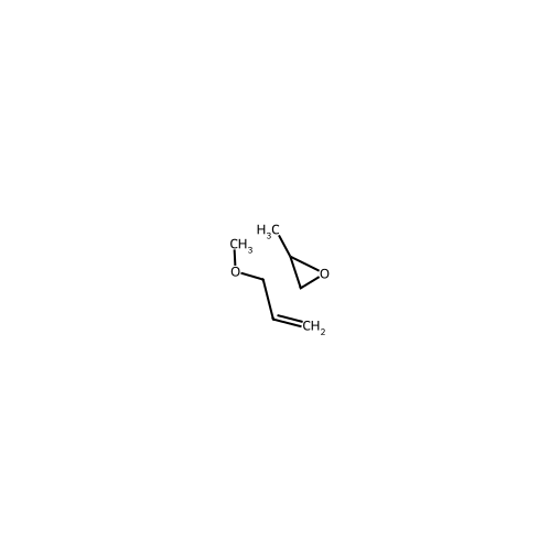 C=CCOC.CC1CO1